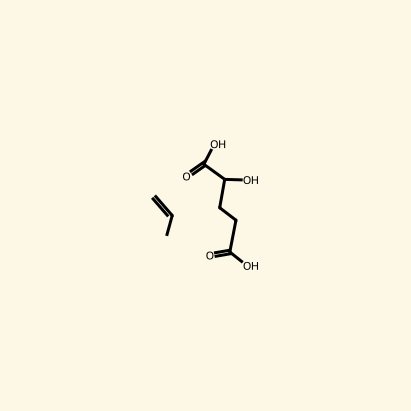 C=CC.O=C(O)CCC(O)C(=O)O